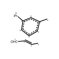 CC=CC=O.Cc1cccc(C(C)C)c1